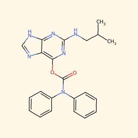 CC(C)CNc1nc(OC(=O)N(c2ccccc2)c2ccccc2)c2nc[nH]c2n1